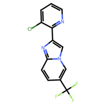 FC(F)(F)c1ccc2nc(-c3ncccc3Cl)cn2c1